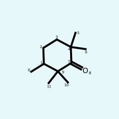 CC1CCC(C)(C)C(=O)C1(C)C